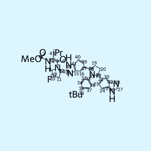 COC(=O)N[C@H](C(=O)N1C[C@@H](F)C[C@H]1c1nc2cc([C@H]3CC[C@H](c4ccc5[nH]cnc5c4)N3c3ccc(C(C)(C)C)cc3)ccc2[nH]1)C(C)C